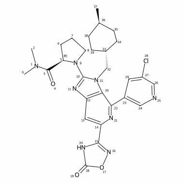 CN(C)C(=O)[C@H]1CCCN1c1nc2cc(-c3noc(=O)[nH]3)nc(-c3cncc(Cl)c3)c2n1C[C@H]1CC[C@H](C)CC1